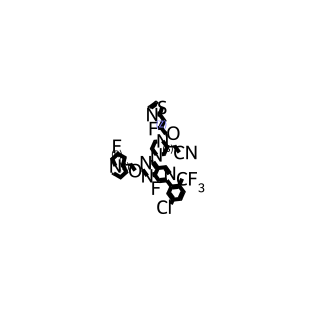 N#CC[C@H]1CN(c2nc(OC[C@@]34CCCN3C[C@H](F)C4)nc3c(F)c(-c4cc(Cl)ccc4C(F)(F)F)ncc23)CCN1C(=O)/C(F)=C/c1nccs1